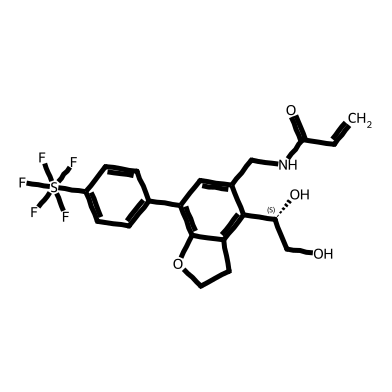 C=CC(=O)NCc1cc(-c2ccc(S(F)(F)(F)(F)F)cc2)c2c(c1[C@H](O)CO)CCO2